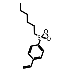 C=Cc1ccc([Si]2(CCCCCC)OO2)cc1